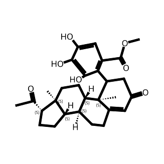 COC(=O)c1cc(O)c(O)c(O)c1C1CC(=O)C=C2CC[C@H]3[C@@H]4CC[C@H](C(C)=O)[C@@]4(C)CC[C@@H]3[C@]21C